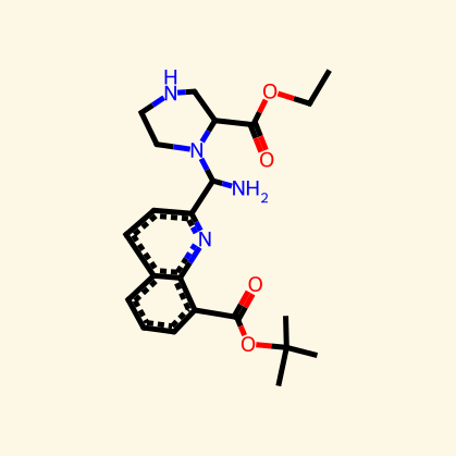 CCOC(=O)C1CNCCN1C(N)c1ccc2cccc(C(=O)OC(C)(C)C)c2n1